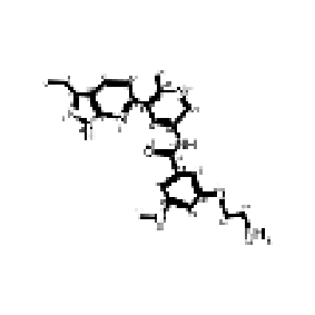 CCc1n[nH]c2nc(-c3cc(NC(=O)c4cc(OC)cc(OCCN)c4)cnc3C)ccc12